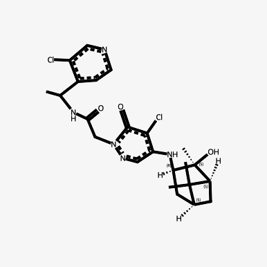 CC(NC(=O)Cn1ncc(N[C@@H]2C[C@@H]3C[C@@H](C3(C)C)[C@]2(C)O)c(Cl)c1=O)c1ccncc1Cl